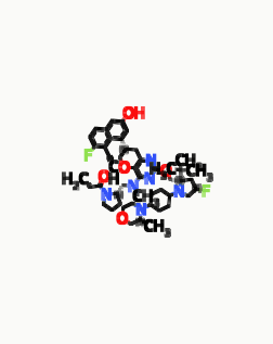 C#Cc1c(F)ccc2cc(O)cc([C@H]3COc4c(nc(OC[C@]5(C(C)(C)C)C[C@@H](F)CN5C5CCC(N6CCOC[C@@H]6C)CC5)nc4N(C)C[C@@H]4CCCN4C(=O)C=C)C3)c12